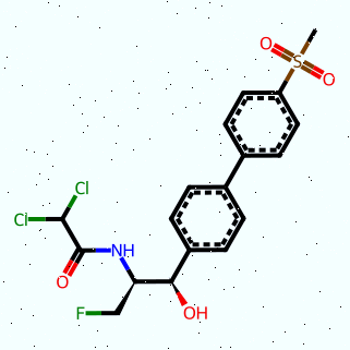 CS(=O)(=O)c1ccc(-c2ccc([C@@H](O)[C@@H](CF)NC(=O)C(Cl)Cl)cc2)cc1